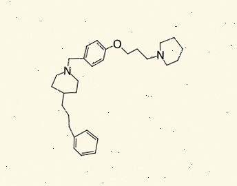 c1ccc(CCCC2CCN(Cc3ccc(OCCCN4CCCCC4)cc3)CC2)cc1